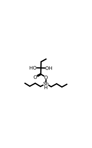 CCC[CH2][SnH]([CH2]CCC)[O]C(=O)C(O)(O)CC